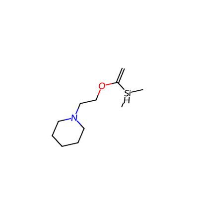 C=C(OCCN1CCCCC1)[SiH](C)C